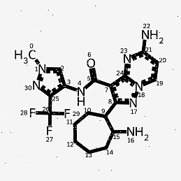 Cn1cc(NC(=O)c2c(C3CCCCCC3N)nn3ccc(N)nc23)c(C(F)(F)F)n1